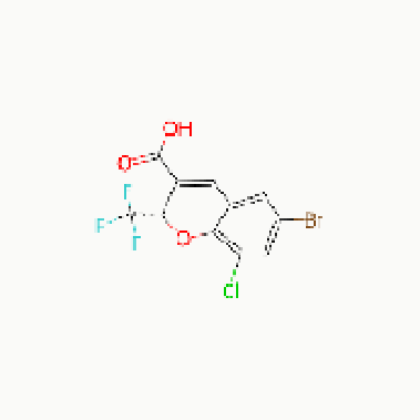 O=C(O)C1=Cc2cc(Br)cc(Cl)c2O[C@@H]1C(F)(F)F